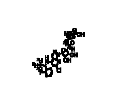 [2H]C([2H])([2H])[C@H](Nc1cc(Cl)nc2c1cnn2[C@@H]1O[C@H](C([2H])([2H])OP(=O)(O)CP(=O)(O)O)[C@@H](O)[C@H]1O)c1ccccc1F